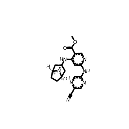 COC(=O)c1cnc(Nc2cnc(C#N)cn2)cc1NC1C[C@H]2CC[C@@H](C1)N2C